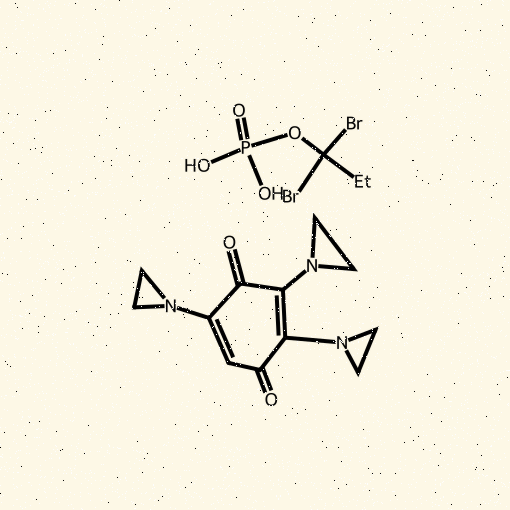 CCC(Br)(Br)OP(=O)(O)O.O=C1C=C(N2CC2)C(=O)C(N2CC2)=C1N1CC1